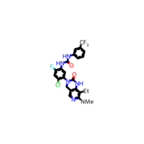 CCc1c(NC)ncc2c1NC(=O)N(c1cc(NC(=O)Nc3cccc(C(F)(F)F)c3)c(F)cc1Cl)C2